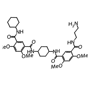 COc1cc(OC)c(C(=O)NC2CCC(NC(=O)c3cc(C(=O)NC4CCCCC4)c(OC)cc3OC)CC2)cc1C(=O)NCCCN